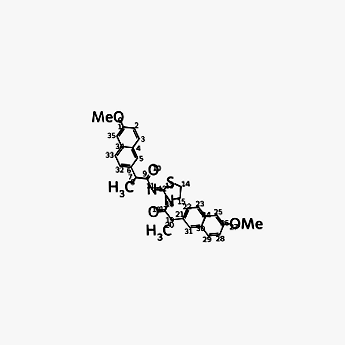 COc1ccc2cc([C@H](C)C(=O)/N=C3\SCCN3C(=O)[C@@H](C)c3ccc4cc(OC)ccc4c3)ccc2c1